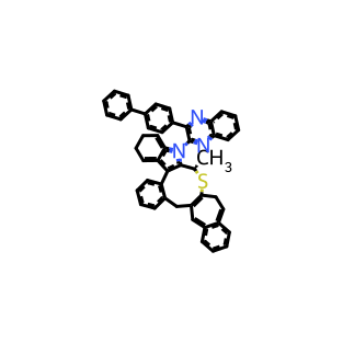 C[C@H]1SC2=C(C=c3ccccc3=CC2)Cc2ccccc2-c2c1n(-c1nc3ccccc3nc1-c1ccc(-c3ccccc3)cc1)c1c2=CCCC=1